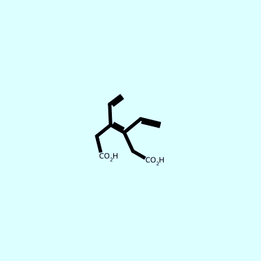 C=CC(CC(=O)O)=C(C=C)CC(=O)O